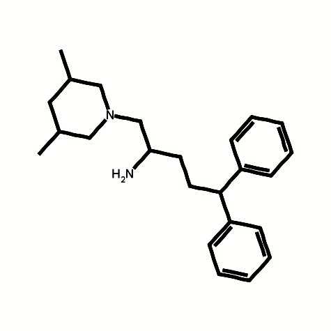 CC1CC(C)CN(CC(N)CCC(c2ccccc2)c2ccccc2)C1